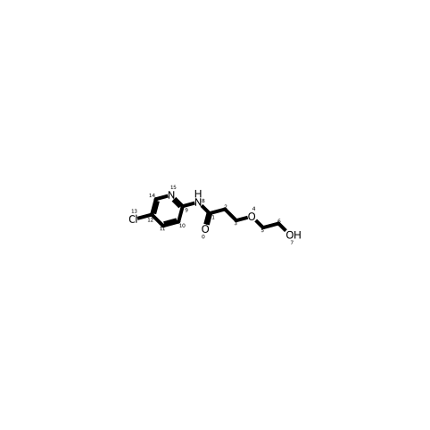 O=C(CCOCCO)Nc1ccc(Cl)cn1